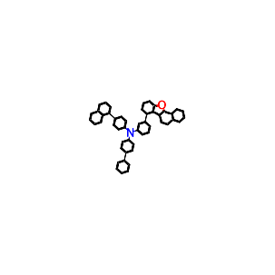 c1ccc(-c2ccc(N(c3ccc(-c4cccc5ccccc45)cc3)c3cccc(-c4cccc5oc6c7ccccc7ccc6c45)c3)cc2)cc1